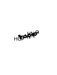 COc1ccc2nc(-c3ccc(N4CCC(OCC5(C(=O)O)CCC5)CC4)nc3)[nH]c2c1